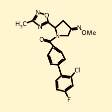 CON=C1CC(c2nc(C)no2)N(C(=O)c2ccc(-c3ccc(F)cc3Cl)cc2)C1